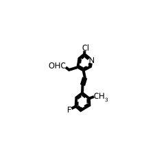 Cc1ccc(F)cc1C#Cc1cnc(Cl)cc1CC=O